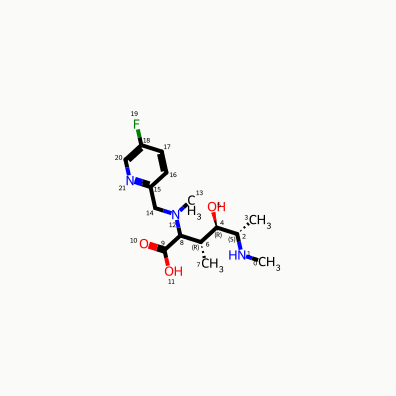 CN[C@@H](C)[C@H](O)[C@H](C)C(C(=O)O)N(C)Cc1ccc(F)cn1